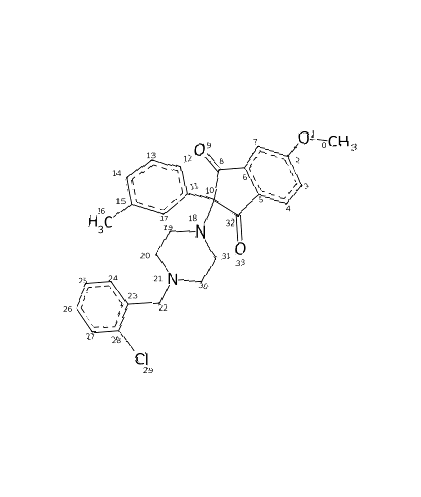 COc1ccc2c(c1)C(=O)C(c1cccc(C)c1)(N1CCN(Cc3ccccc3Cl)CC1)C2=O